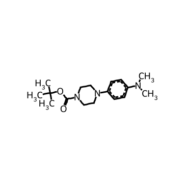 CN(C)c1ccc(N2CCN(C(=O)OC(C)(C)C)CC2)cc1